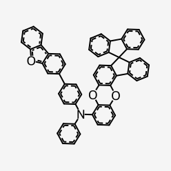 c1ccc(N(c2ccc(-c3ccc4c(c3)oc3ccccc34)cc2)c2cccc3c2Oc2ccc4c(c2O3)-c2ccccc2C42c3ccccc3-c3ccccc32)cc1